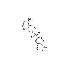 CN1CCOc2cc(S(=O)(=O)N3CCc4c(N)ncnc4C3)ccc21